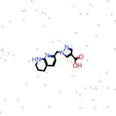 O=C(O)c1cnn(Cc2ccc3c(n2)NCCC3)c1